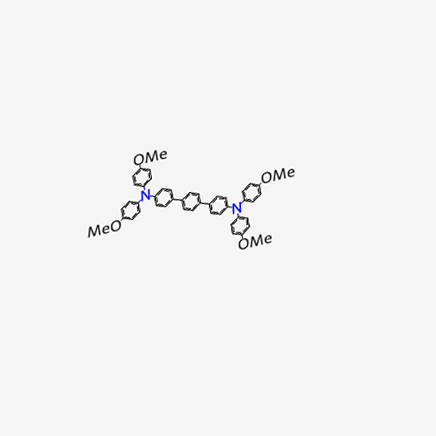 COc1ccc(N(c2ccc(OC)cc2)c2ccc(-c3ccc(-c4ccc(N(c5ccc(OC)cc5)c5ccc(OC)cc5)cc4)cc3)cc2)cc1